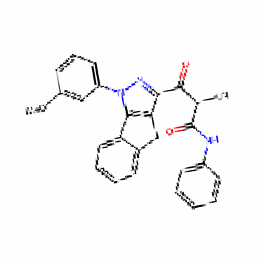 COc1cccc(-n2nc(C(=O)C(C#N)C(=O)Nc3ccccc3)c3c2-c2ccccc2C3)c1